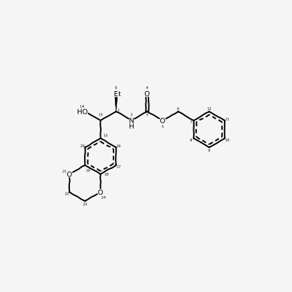 CC[C@@H](NC(=O)OCc1ccccc1)C(O)c1ccc2c(c1)OCCO2